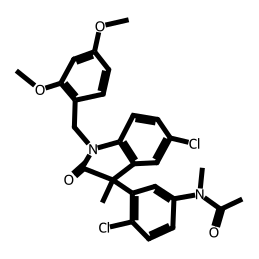 COc1ccc(CN2C(=O)C(C)(c3cc(N(C)C(C)=O)ccc3Cl)c3cc(Cl)ccc32)c(OC)c1